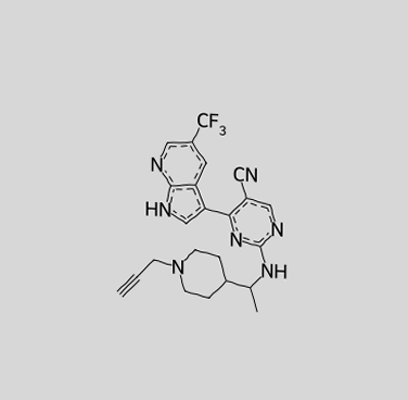 C#CCN1CCC(C(C)Nc2ncc(C#N)c(-c3c[nH]c4ncc(C(F)(F)F)cc34)n2)CC1